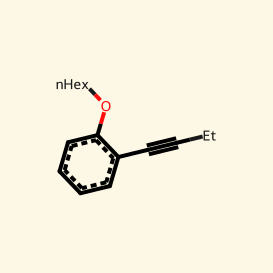 CCC#Cc1ccccc1OCCCCCC